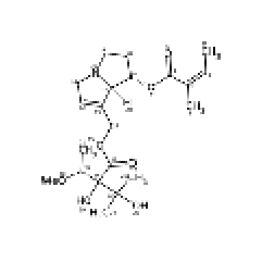 C/C=C(/C)C(=O)O[C@H]1CCN2CC=C(COC(=O)C(O)(C(C)OC)C(C)(C)O)[C@H]12